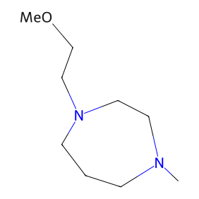 COCCN1CCCN(C)CC1